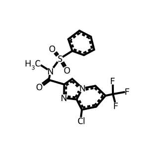 CN(C(=O)c1cn2cc(C(F)(F)F)cc(Cl)c2n1)S(=O)(=O)c1ccccc1